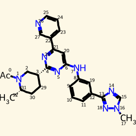 CC(=O)N1C[C@H](c2nc(Nc3cccc(-c4ncn(C)n4)c3)cc(-c3cccnc3)n2)CC[C@@H]1C